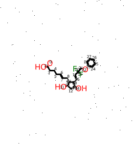 O=C(O)CCCC=CC[C@@H]1C(O)C[C@@H](O)[C@@H]1C=CC(F)(F)COc1ccccc1